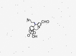 CN(C)CC/C=C1\c2ccccc2CCn2cc(C=O)cc21.O=C(O)C(=O)O